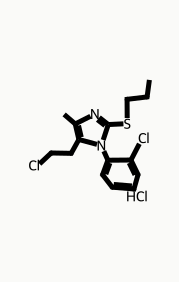 CCCSc1nc(C)c(CCCl)n1-c1ccccc1Cl.Cl